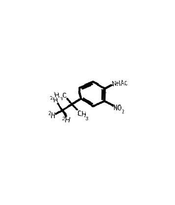 [2H]C([2H])([2H])C(C)(C)c1ccc(NC(C)=O)c([N+](=O)[O-])c1